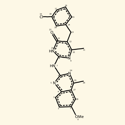 COc1ccc2nc(Nc3nc(C)c(Cc4cccc(Cl)c4)c(=O)[nH]3)nc(C)c2c1